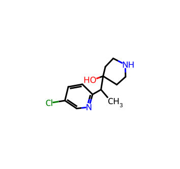 CC(c1ccc(Cl)cn1)C1(O)CCNCC1